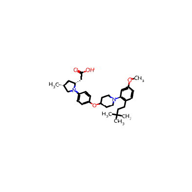 COc1ccc(CCC(C)(C)C)c(N2CCC(Oc3ccc(N4C[C@H](C)C[C@@H]4CC(=O)O)cc3)CC2)c1